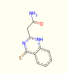 NC(=O)Cc1nc(=S)c2ccccc2[nH]1